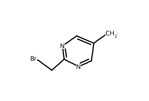 [CH2]c1cnc(CBr)nc1